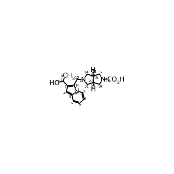 CC(O)c1cc2ccccn2c1CN1C[C@@H]2CN(C(=O)O)C[C@@H]2C1